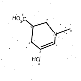 CN1C=CCC(C(=O)O)C1.Cl